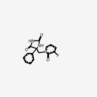 O=C1NC(=O)C(Cn2cccc(F)c2=O)(c2ccccc2)N1